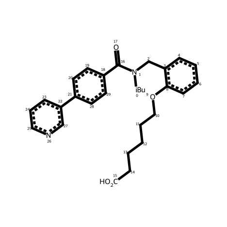 CCC(C)N(Cc1ccccc1OCCCCCC(=O)O)C(=O)c1ccc(-c2cccnc2)cc1